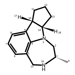 C[C@H]1CN2c3c(cccc3[C@@H]3CCC[C@@H]32)CN1